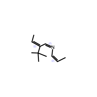 C\C=C/N=C\C(=C/C)C(C)(C)C